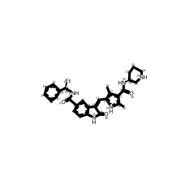 CC[C@@H](NC(=O)c1ccc2c(c1)C(=Cc1[nH]c(C)c(C(=O)N[C@H]3CCCNC3)c1C)C(=O)N2)c1ccccc1